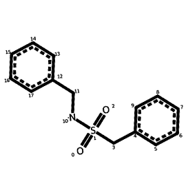 O=S(=O)(Cc1ccccc1)[N]Cc1ccccc1